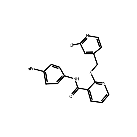 CCCc1ccc(NC(=O)c2cccnc2SCc2ccnc(Cl)c2)cc1